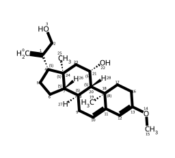 C=C(CO)[C@H]1CC[C@H]2[C@@H]3CC=C4C=C(OC)CC[C@]4(C)[C@H]3[C@@H](O)C[C@]12C